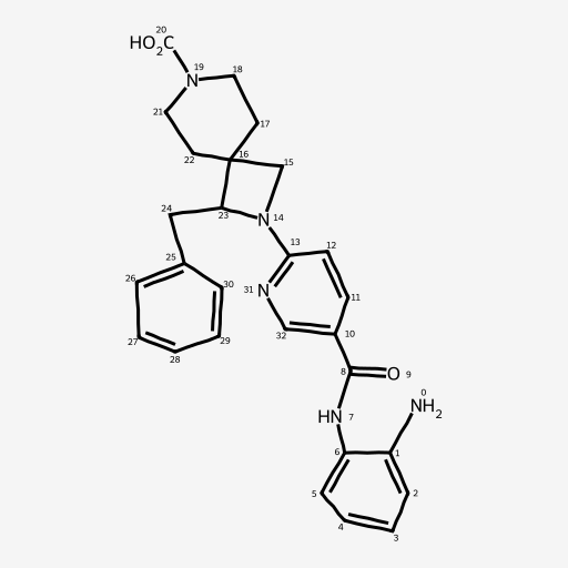 Nc1ccccc1NC(=O)c1ccc(N2CC3(CCN(C(=O)O)CC3)C2Cc2ccccc2)nc1